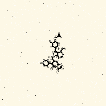 CNc1ncnc2c1c(-c1ccc(OC3CC3)c(C)c1)nn2[C@@H](C)c1cc2scc(Cl)n2c(=O)c1-c1ccccc1